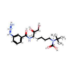 CC(C)(C)N(CCCC[C@H](NC(=O)c1cccc(N=[N+]=N)c1)C(=O)CBr)C(=O)[O-]